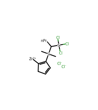 CCCC([Si](Cl)(Cl)Cl)[Si](C)(C)C1=[C]([Zr+2])CC=C1.[Cl-].[Cl-]